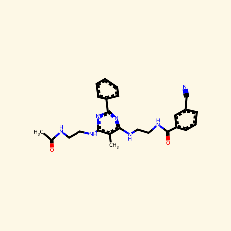 CC(=O)NCCNc1nc(-c2ccccc2)nc(NCCNC(=O)c2cccc(C#N)c2)c1C